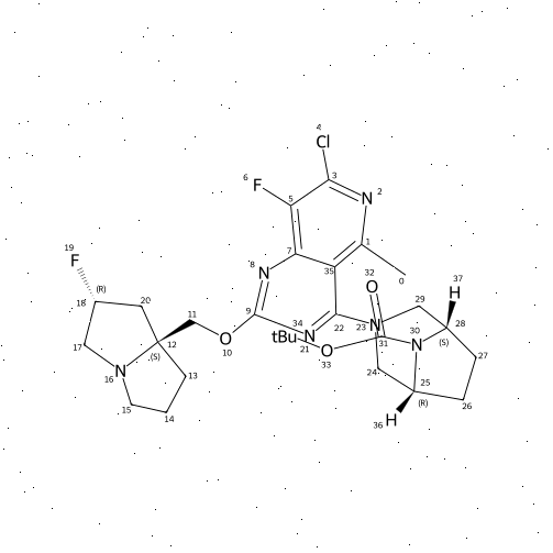 Cc1nc(Cl)c(F)c2nc(OC[C@@]34CCCN3C[C@H](F)C4)nc(N3C[C@H]4CC[C@@H](C3)N4C(=O)OC(C)(C)C)c12